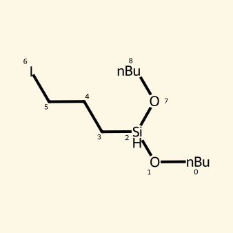 CCCCO[SiH](CCCI)OCCCC